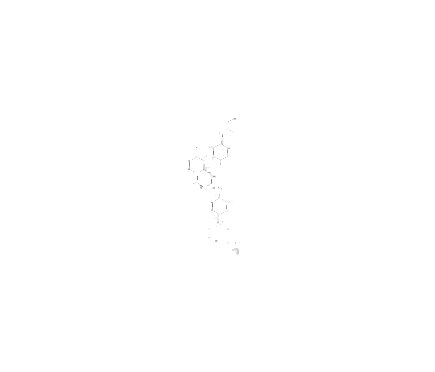 C=CC(=O)Nc1cccc(-c2c(F)ccc3cnc(Nc4ccc(N5CCO[C@H](CN)C5)cc4)nc23)c1